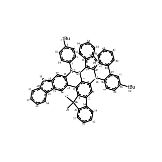 CC(C)(C)c1ccc(N2B3c4c(cc5c(c4-c4cc6c(cc42)sc2ccccc26)C(C)(C)c2ccccc2-5)N(c2ccc(C(C)(C)C)cc2-c2ccccc2)c2sc4ccccc4c23)cc1